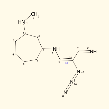 CNC1CCCCC(N/C=C(\C=N)N=[N+]=[N-])C1